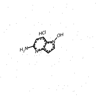 Cl.Nc1ccc2c(ccn2O)n1